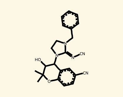 CC1(C)Oc2ccc(C#N)cc2C(N2CCN(Cc3ccccc3)C2=NC#N)C1O